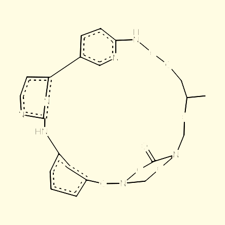 CC1CCCNc2ccc(cn2)-c2ccnc(n2)Nc2cccc(c2)CN2CCN(CC1)C(=O)C2